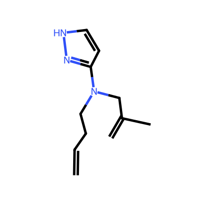 C=CCCN(CC(=C)C)c1cc[nH]n1